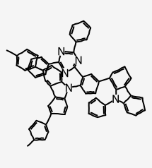 Cc1ccc(-c2ccc3c(c2)c2cc(-c4ccc(C)cc4)ccc2n3-c2ccc(-c3cccc4c5ccccc5n(-c5ccccc5)c34)cc2-c2nc(-c3ccccc3)nc(-c3ccccc3)n2)cc1